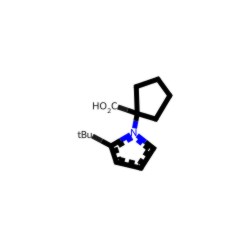 CC(C)(C)c1cccn1C1(C(=O)O)CCCC1